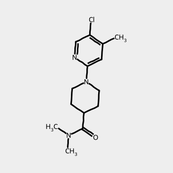 Cc1cc(N2CCC(C(=O)N(C)C)CC2)ncc1Cl